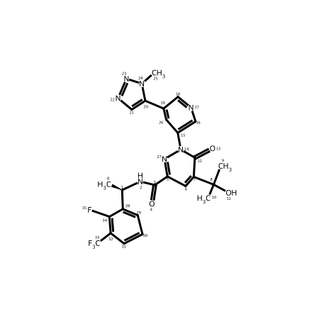 C[C@@H](NC(=O)c1cc(C(C)(C)O)c(=O)n(-c2cncc(-c3cnnn3C)c2)n1)c1cccc(C(F)(F)F)c1F